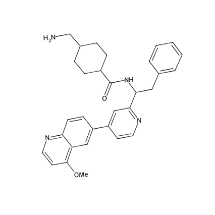 COc1ccnc2ccc(-c3ccnc(C(Cc4ccccc4)NC(=O)C4CCC(CN)CC4)c3)cc12